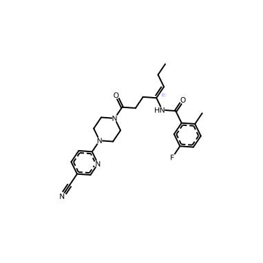 CC/C=C(\CCC(=O)N1CCN(c2ccc(C#N)cn2)CC1)NC(=O)c1cc(F)ccc1C